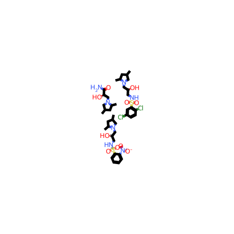 CC1CC(C)N(C[C@@H](O)C(N)=O)C1.CC1CC(C)N(C[C@@H](O)CNS(=O)(=O)c2cc(Cl)ccc2Cl)C1.CC1CC(C)N(C[C@@H](O)CNS(=O)(=O)c2ccccc2[N+](=O)[O-])C1